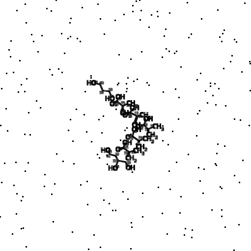 C=C(C)C(=O)O.C=C(C)C(=O)O.C=C(C)C(=O)O.C=C(C)C(=O)O.C=C(C)C(=O)O.OCCC(O)CO.OCCCO